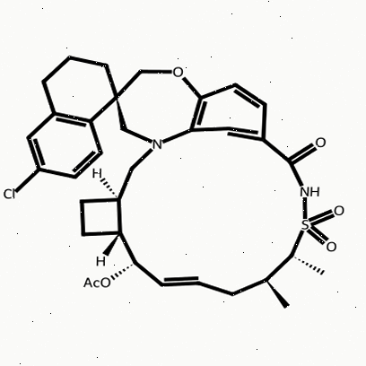 CC(=O)O[C@H]1/C=C/C[C@H](C)[C@@H](C)S(=O)(=O)NC(=O)c2ccc3c(c2)N(C[C@@H]2CC[C@H]21)C[C@@]1(CCCc2cc(Cl)ccc21)CO3